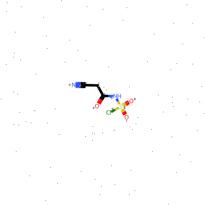 N#CCC(=O)NS(=O)(=O)Cl